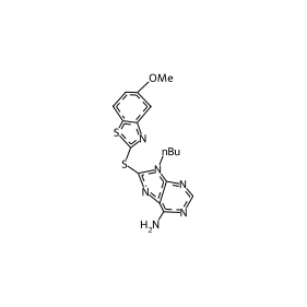 CCCCn1c(Sc2nc3cc(OC)ccc3s2)nc2c(N)ncnc21